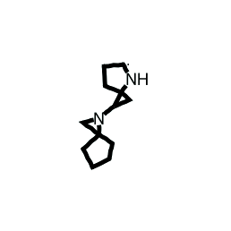 [CH]1CCC2(CC2N2CC23CCCC3)N1